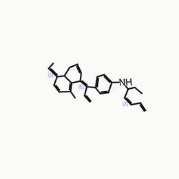 C=C/C=C\C(CC)Nc1ccc(/C(C=C)=C2\C=CCC3C2=C(C)C=C/C3=C/C)cc1